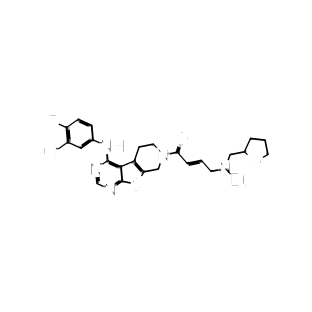 CCN(C/C=C/C(=O)N1CCc2c(sc3ncnc(Nc4ccc(F)c(Cl)c4)c23)C1)CC1CCCO1